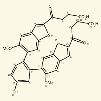 COc1cc2cc(C(=O)CCC(=O)O)sc2cc1-c1ccc(O)cc1-c1cc2sc(C(=O)CCC(=O)O)cc2cc1OC